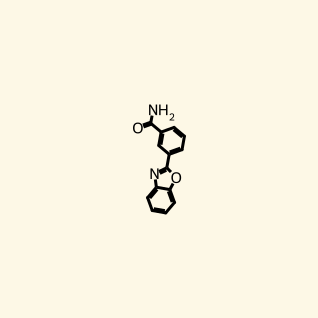 NC(=O)c1cccc(-c2nc3ccccc3o2)c1